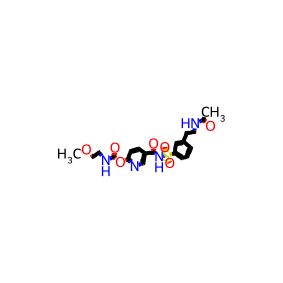 COCCNC(=O)Oc1ccc(C(=O)NS(=O)(=O)c2cccc(CCNC(C)=O)c2)cn1